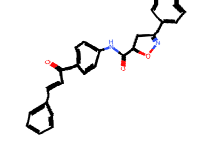 O=C(C=Cc1ccccc1)c1ccc(NC(=O)C2CC(c3ccccc3)=NO2)cc1